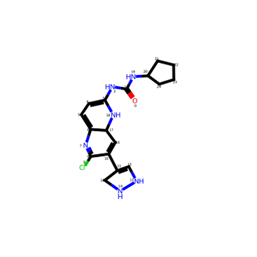 O=C(NC1=CC=C2N=C(Cl)C(C3=CNNC3)=CC2N1)NC1CCCC1